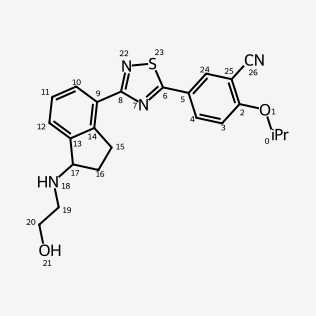 CC(C)Oc1ccc(-c2nc(-c3cccc4c3CCC4NCCO)ns2)cc1C#N